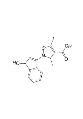 CC1C(C(=O)O)=C(I)SN1C1=CC(O)c2ccccc21